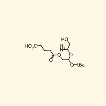 CC(C)(C)OC(COC(=O)CCCC(=O)O)OC(N)CO